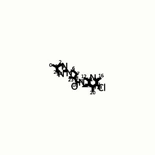 Cc1cnc(N2CCC(C(=O)N3Cc4nc(C)c(Cl)c(C)c4C3)C2)nc1